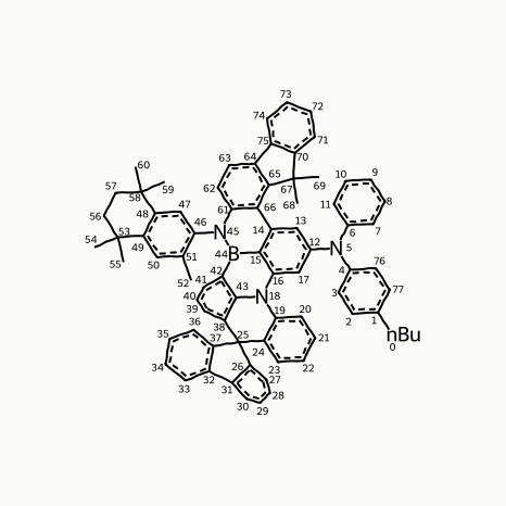 CCCCc1ccc(N(c2ccccc2)c2cc3c4c(c2)N2c5ccccc5C5(c6ccccc6-c6ccccc65)c5cccc(c52)B4N(c2cc4c(cc2C)C(C)(C)CCC4(C)C)c2ccc4c(c2-3)C(C)(C)c2ccccc2-4)cc1